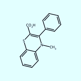 CN1C(c2ccccc2)=C(C(=O)O)Sc2ccccc21